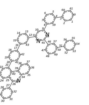 c1ccc(-c2cccc(-c3cc(-c4cccc(-c5ccc(-c6cccc7c(-c8ccccc8)nc8ccccc8c67)cc5)c4)nc(-c4cccc(-c5ccccc5)c4)n3)c2)cc1